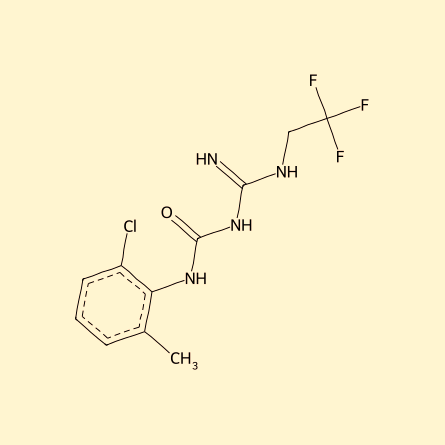 Cc1cccc(Cl)c1NC(=O)NC(=N)NCC(F)(F)F